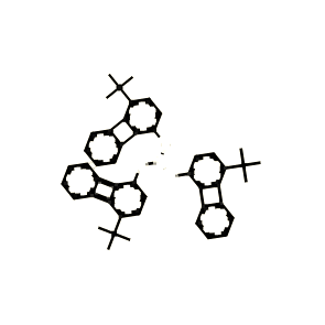 CC(C)(C)c1ccc(OP(Oc2ccc(C(C)(C)C)c3c2-c2ccccc2-3)Oc2ccc(C(C)(C)C)c3c2=c2ccccc2=3)c2c1-c1ccccc1-2